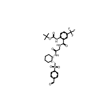 CC(C)(C)OC(=O)Nc1ccc(C(F)(F)F)cc1C(=O)NCC(=O)N[C@H]1CCCC[C@H]1CS(=O)(=O)c1ccc(C=O)cc1